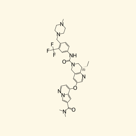 CC[C@H]1CN(C(=O)Nc2ccc(CN3CCN(C)CC3)c(C(F)(F)F)c2)Cc2cc(Oc3ccnn4cc(C(=O)N(C)C)cc34)cnc21